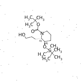 CC(C)(C)OC(=O)N1CCC[C@@H](O[Si](C)(C)C(C)(C)C)[C@@H]1CCCO